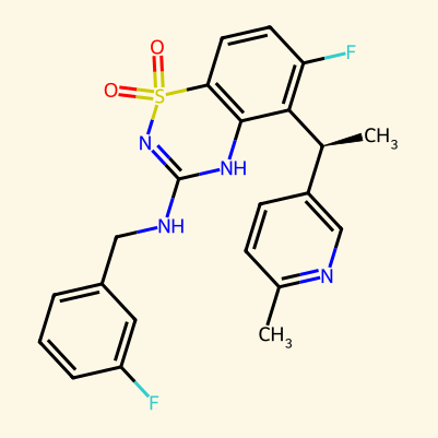 Cc1ccc([C@H](C)c2c(F)ccc3c2NC(NCc2cccc(F)c2)=NS3(=O)=O)cn1